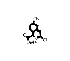 COC(=O)c1nc(Cl)cc2cc(C#N)ccc12